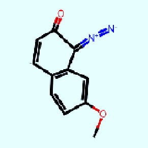 COc1ccc2c(c1)C(=[N+]=[N-])C(=O)C=[C]2